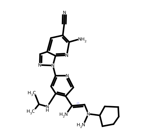 CC(C)Nc1cc(-n2ncc3cc(C#N)c(N)nc32)ncc1/C(N)=C/N(N)C1CCCCC1